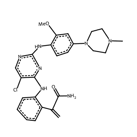 C=C(C(N)=O)c1ccccc1Nc1nc(Nc2ccc(N3CCN(C)CC3)cc2OC)ncc1Cl